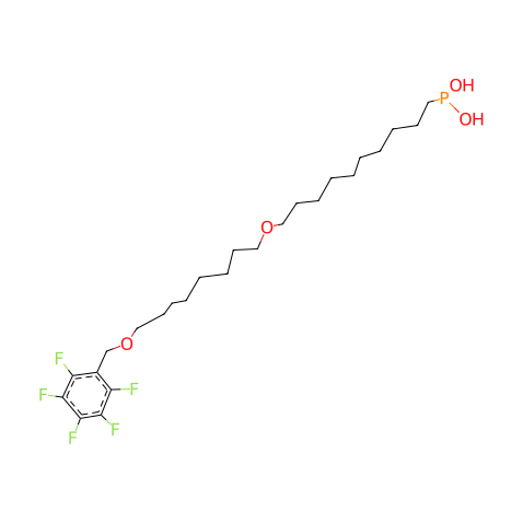 OP(O)CCCCCCCCCCOCCCCCCCCOCc1c(F)c(F)c(F)c(F)c1F